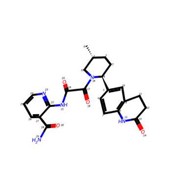 C[C@@H]1CC[C@@H](c2ccc3c(c2)CCC(=O)N3)N(C(=O)C(=O)Nc2ncccc2C(N)=O)C1